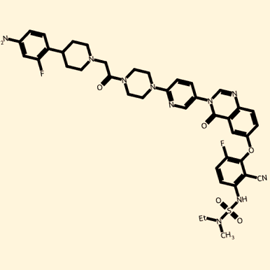 CCN(C)S(=O)(=O)Nc1ccc(F)c(Oc2ccc3ncn(-c4ccc(N5CCN(C(=O)CN6CCC(c7ccc(N)cc7F)CC6)CC5)nc4)c(=O)c3c2)c1C#N